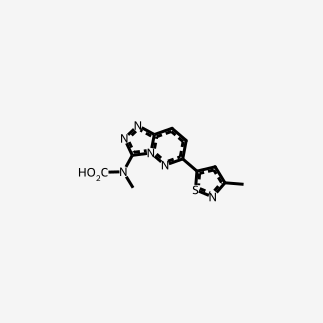 Cc1cc(-c2ccc3nnc(N(C)C(=O)O)n3n2)sn1